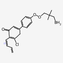 BCC(C)(C)COOc1ccc(C2=CC(=O)C(/C=C\C=C)=C(Cl)C2)cc1